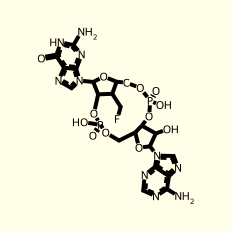 Nc1nc2c(ncn2C2OC3COP(=O)(O)OC4C(COP(=O)(O)OC2C3CF)OC(n2cnc3c(N)ncnc32)C4O)c(=O)[nH]1